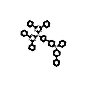 c1ccc(-c2ccc(N(c3ccccc3)c3ccc(-c4ccc(N(c5nc(-c6ccccc6)nc(-c6ccccc6)n5)c5nc(-c6ccccc6)nc(-c6ccccc6)n5)cc4)cc3)cc2)cc1